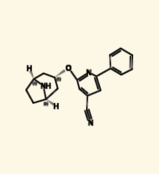 N#Cc1cc(O[C@@H]2C[C@H]3CC[C@@H](C2)N3)nc(-c2ccccc2)c1